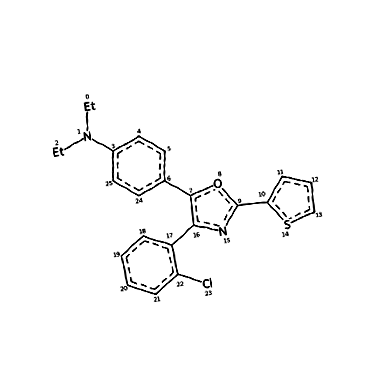 CCN(CC)c1ccc(-c2oc(-c3cccs3)nc2-c2ccccc2Cl)cc1